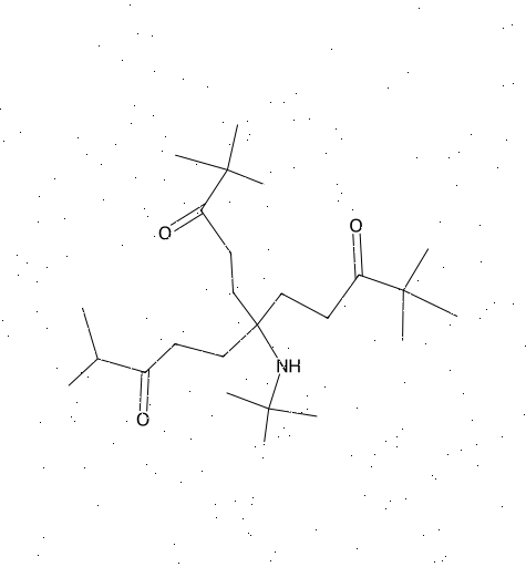 CC(C)C(=O)CCC(CCC(=O)C(C)(C)C)(CCC(=O)C(C)(C)C)NC(C)(C)C